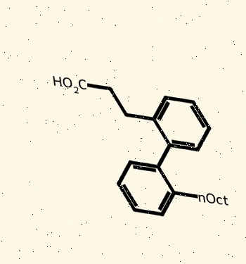 CCCCCCCCc1ccccc1-c1ccccc1CCC(=O)O